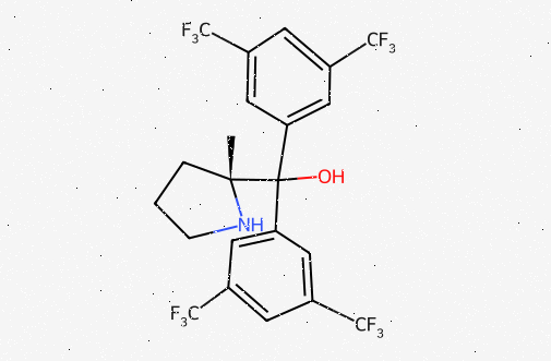 C[C@]1(C(O)(c2cc(C(F)(F)F)cc(C(F)(F)F)c2)c2cc(C(F)(F)F)cc(C(F)(F)F)c2)CCCN1